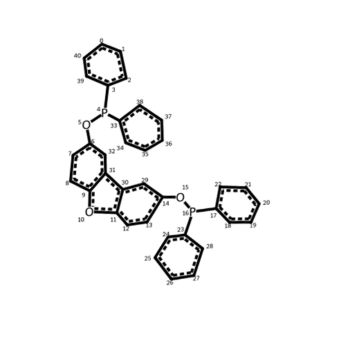 c1ccc(P(Oc2ccc3oc4ccc(OP(c5ccccc5)c5ccccc5)cc4c3c2)c2ccccc2)cc1